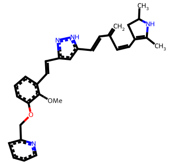 C=C(/C=C\C1=C(C)NC(C)C1)/C=C/c1cc(/C=C/c2cccc(OCc3ccccn3)c2OC)n[nH]1